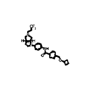 O=C(Nc1ccc(N2CC[C@@H]3CN(CCC(F)(F)F)C[C@@H]32)cc1)c1ccc(COC2CCC2)cc1